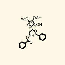 CC(=O)O[C@H]1O[C@H](C(CNOC(=O)c2ccccc2)OCc2ccccc2)[C@@H](O)[C@H]1OC(C)=O